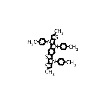 Cc1ccc(-n2c3cc(C)sc3c3sc4cc5c(cc4c32)n(-c2ccc(C)cc2)c2c3sc(C)cc3n(-c3ccc(C)cc3)c52)cc1